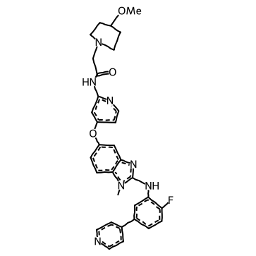 COC1CCN(CC(=O)Nc2cc(Oc3ccc4c(c3)nc(Nc3cc(-c5ccncc5)ccc3F)n4C)ccn2)CC1